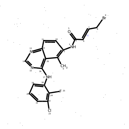 Cc1c(NC(=O)/C=C/CBr)ccc2ncnc(Nc3cccc(Cl)c3F)c12